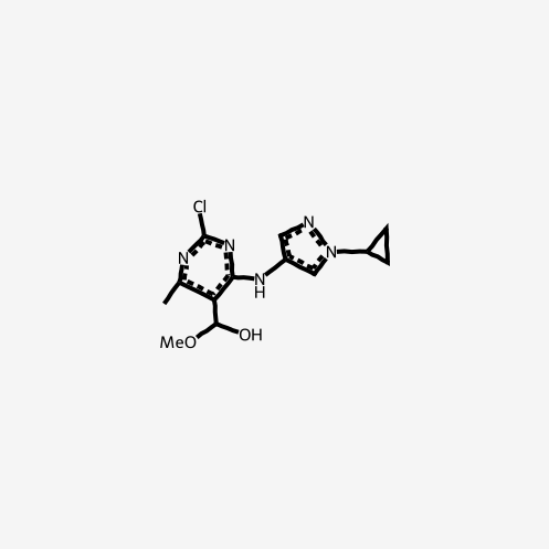 COC(O)c1c(C)nc(Cl)nc1Nc1cnn(C2CC2)c1